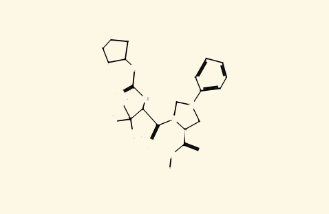 COC(=O)[C@@H]1CN(c2ccccc2)CN1C(=O)C(NC(=O)OC1CCCC1)C(C)(C)C